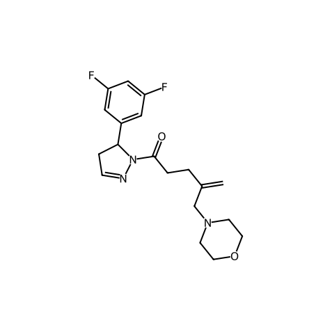 C=C(CCC(=O)N1N=CCC1c1cc(F)cc(F)c1)CN1CCOCC1